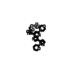 CCS(=O)(=O)Nc1cc(N2CCOC[C@H]2C)nc2c(-c3ccnn3C3CCCCO3)cnn12